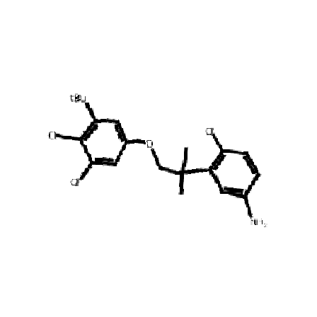 CC(C)(C)c1cc(OCC(C)(C)c2cc(N)ccc2Cl)cc(Cl)c1Cl